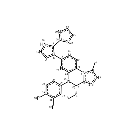 CC[C@H]1c2nnc(C)n2-c2cnc(-c3cn[nH]c3-c3nccs3)nc2N1c1ccc(F)c(F)c1